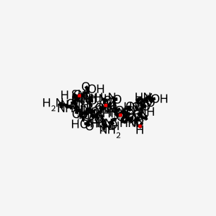 CC[C@H](C)[C@H](NC(=O)[C@H](CCCNC(=N)N)NC(=O)[C@H](CS)NC(=O)[C@@H](N)CCC(=O)O)C(=O)N[C@@H](CCC(N)=O)C(=O)N[C@@H](CCC(=O)O)C(=O)N[C@@H](CCCNC(=N)N)C(=O)N[C@@H](CC(N)=O)C(=O)N[C@@H](CCC(N)=O)C(=O)N[C@@H](CCC(N)=O)C(=O)N[C@@H](CC(=O)O)C(=O)N1CCC[C@H]1C(=O)N[C@@H](CC(C)C)C(=O)N[C@H](C(=O)N[C@@H](CS)C(=O)N1CCC[C@H]1C(=O)N[C@@H](C)C(=O)O)C(C)C